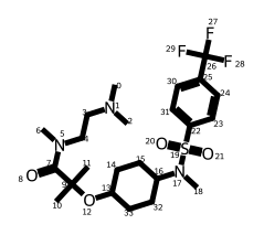 CN(C)CCN(C)C(=O)C(C)(C)OC1CCC(N(C)S(=O)(=O)c2ccc(C(F)(F)F)cc2)CC1